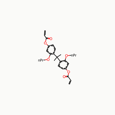 C=CC(=O)Oc1ccc(C(C)(C)c2ccc(OC(=O)C=C)cc2OCCC)c(OCCC)c1